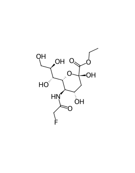 CCOC(=O)[C@]1(O)C[C@H](O)[C@@H](NC(=O)CF)[C@H]([C@H](O)[C@H](O)CO)O1